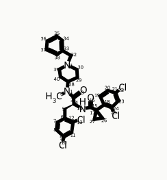 CN(C(=O)[C@H](Cc1ccc(Cl)cc1Cl)NC(=O)C1(c2ccc(Cl)cc2Cl)CC1)C1CCN(Cc2ccccc2)CC1